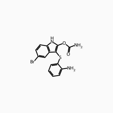 NC(=O)Oc1[nH]c2ccc(Br)cc2c1Sc1ccccc1N